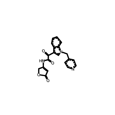 O=C1C=C(NC(=O)C(=O)c2cn(Cc3ccncc3)c3ccccc23)CO1